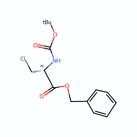 CC(C)(C)OC(=O)N[C@@H](CCl)C(=O)OCc1ccccc1